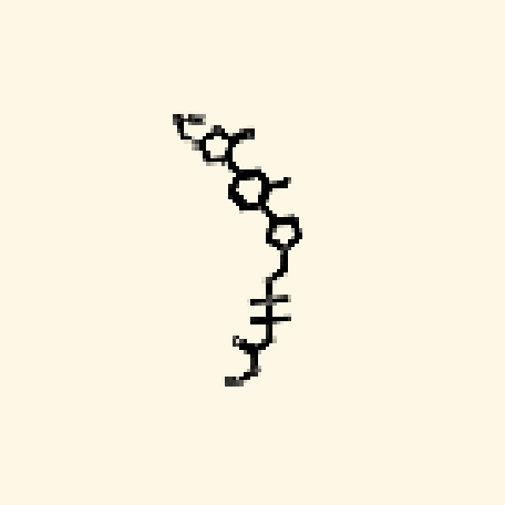 CC(=O)NC[C@H]1CN(c2ccc(C3=CCN(CO[Si](C)(C)C(C)(C)CC(=O)OC(C)(C)C)C3)c(F)c2)C(=O)O1